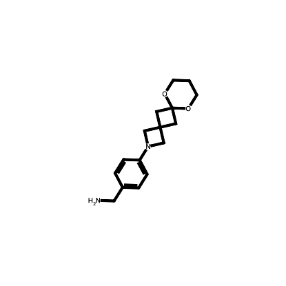 NCc1ccc(N2CC3(C2)CC2(C3)OCCCO2)cc1